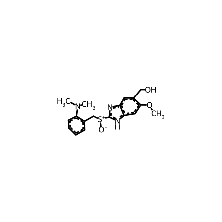 COc1cc2[nH]c([S+]([O-])Cc3ccccc3N(C)C)nc2cc1CO